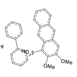 COc1cc2cc3ccccc3cc2c(S(=O)(=O)O)c1OC.I.c1ccc(-c2ccccc2)cc1